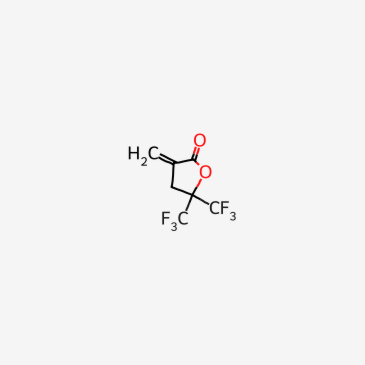 C=C1CC(C(F)(F)F)(C(F)(F)F)OC1=O